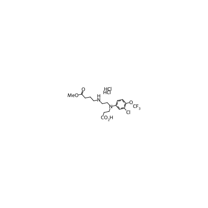 COC(=O)CCCNCCN(CCC(=O)O)c1ccc(OC(F)(F)F)c(Cl)c1.Cl.Cl